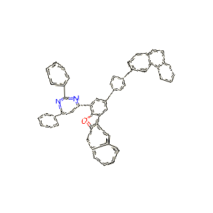 c1ccc(-c2cc(-c3cc(-c4ccc(-c5ccc6ccc7ccccc7c6c5)cc4)cc4c3oc3cc5ccccc5cc34)nc(-c3ccccc3)n2)cc1